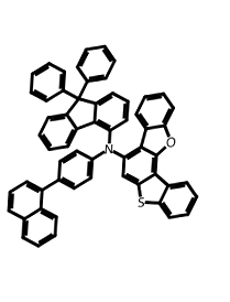 c1ccc(C2(c3ccccc3)c3ccccc3-c3c(N(c4ccc(-c5cccc6ccccc56)cc4)c4cc5sc6ccccc6c5c5oc6ccccc6c45)cccc32)cc1